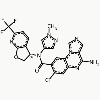 Cn1cc(N(C(=O)c2cc3c(cc2Cl)nc(N)c2cncn23)[C@@H]2COc3nc(C(F)(F)F)ccc32)cn1